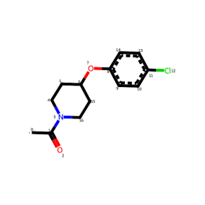 [CH2]C(=O)N1CCC(Oc2ccc(Cl)cc2)CC1